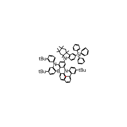 CC(C)(C)c1cccc(N2c3cc(C(C)(C)C)ccc3B3c4ccccc4N(c4ccc(C(C)(C)C)cc4-c4ccccc4)c4cc(N5c6ccc([Si](c7ccccc7)(c7ccccc7)c7ccccc7)cc6C6(C)CC(C)(C)C(C)(C)CC56C)cc2c43)c1